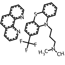 CN(C)CCCN1c2ccccc2Sc2ccc(C(F)(F)F)cc21.c1cnc2c(c1)ccc1cccnc12